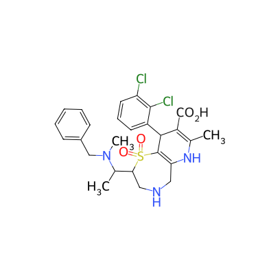 CC1=C(C(=O)O)C(c2cccc(Cl)c2Cl)C2=C(CNCC(C(C)N(C)Cc3ccccc3)S2(=O)=O)N1